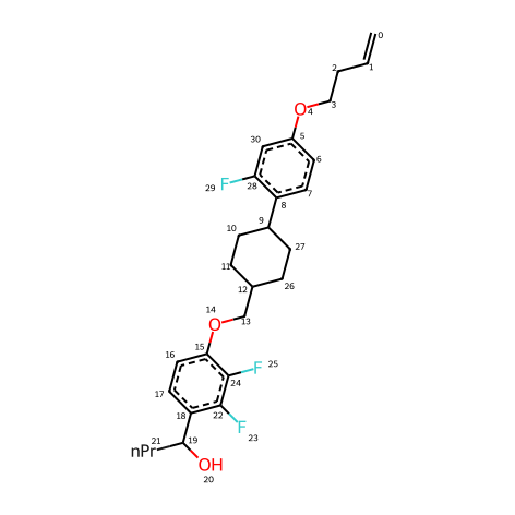 C=CCCOc1ccc(C2CCC(COc3ccc(C(O)CCC)c(F)c3F)CC2)c(F)c1